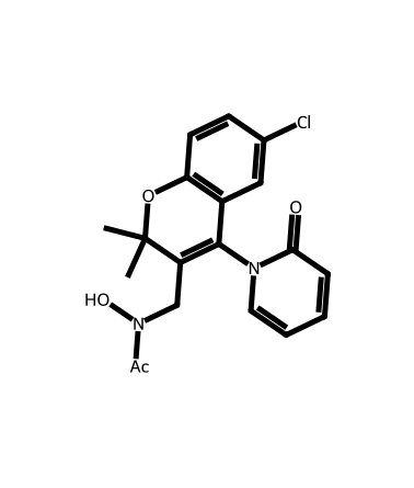 CC(=O)N(O)CC1=C(n2ccccc2=O)c2cc(Cl)ccc2OC1(C)C